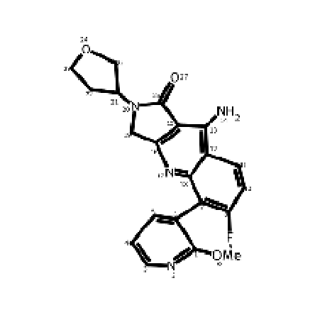 COc1ncccc1-c1c(F)ccc2c(N)c3c(nc12)CN(C1CCOC1)C3=O